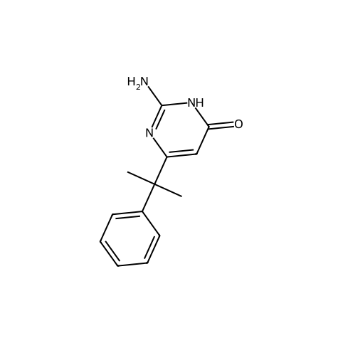 CC(C)(c1ccccc1)c1cc(=O)[nH]c(N)n1